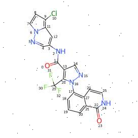 O=C(Nc1cnn2ccc(Cl)c2c1)c1cnn(-c2cccc3c(=O)[nH]ccc23)c1C(F)(F)F